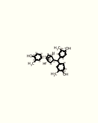 Cc1cc(C(c2ccc(O)c(C)c2)C2C[C@@H]3C[C@H]2C[C@H]3c2ccc(O)c(C)c2)ccc1O